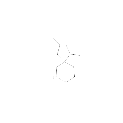 CCCC1(C(C)C)CCCNC1